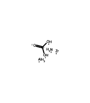 N.O=C(O)O.[AlH3].[Zr]